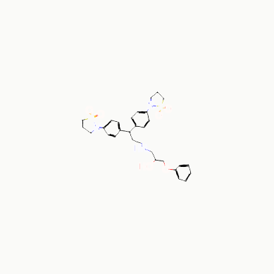 O=S1(=O)CCCN1c1ccc(C(CCNCC(O)COc2ccccc2)c2ccc(N3CCCS3(=O)=O)cc2)cc1